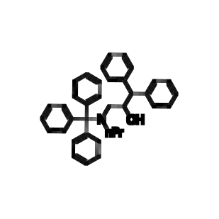 CCCN(CC(O)C(c1ccccc1)c1ccccc1)C(c1ccccc1)(c1ccccc1)c1ccccc1